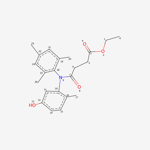 CCOC(=O)CCC(=O)N(c1cc(O)ccc1C)c1c(C)cc(C)cc1C